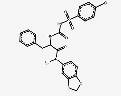 CN(C(=O)C(Cc1ccccc1)NC(=O)NS(=O)(=O)c1ccc(Cl)cc1)c1ccc2c(c1)OCO2